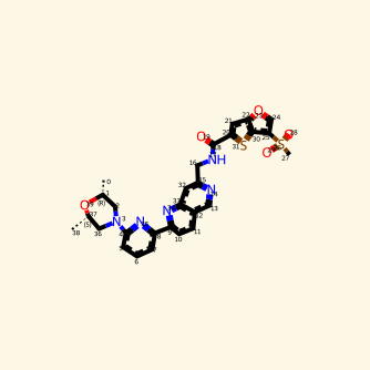 C[C@@H]1CN(c2cccc(-c3ccc4cnc(CNC(=O)c5cc6occ(S(C)(=O)=O)c6s5)cc4n3)n2)C[C@H](C)O1